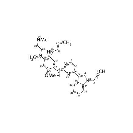 C#CCn1cc(-c2ccnc(Nc3cc(NC=CC)c(N(C)CCNC)cc3OC)n2)c2ccccc21